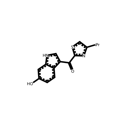 CC(C)c1csc(C(=O)c2c[nH]c3cc(O)ccc23)n1